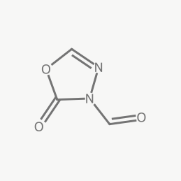 O=Cn1ncoc1=O